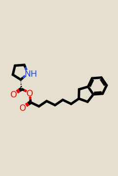 O=C(CCCCCC1Cc2ccccc2C1)OC(=O)[C@@H]1CCCN1